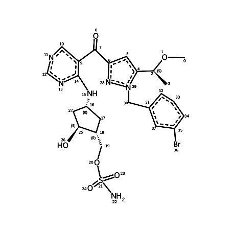 CO[C@@H](C)c1cc(C(=O)c2cncnc2N[C@@H]2C[C@H](COS(N)(=O)=O)[C@@H](O)C2)nn1Cc1cccc(Br)c1